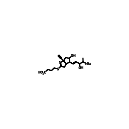 C#CC12CC(O)C(/C=C/C(O)C(C)CCCC)C1CC(SCCCC(=O)O)=N2